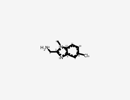 Cn1c(CN)nc2cc(Cl)ccc21